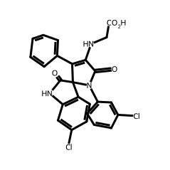 O=C(O)CNC1=C(c2ccccc2)C2(C(=O)Nc3cc(Cl)ccc32)N(c2cccc(Cl)c2)C1=O